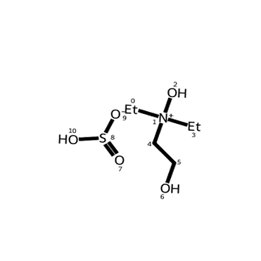 CC[N+](O)(CC)CCO.O=S([O-])O